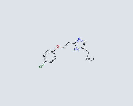 O=C(O)Cc1cnc(CCOc2ccc(Cl)cc2)[nH]1